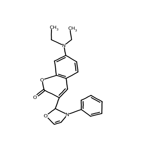 CCN(CC)c1ccc2cc(C3OC=CN3c3ccccc3)c(=O)oc2c1